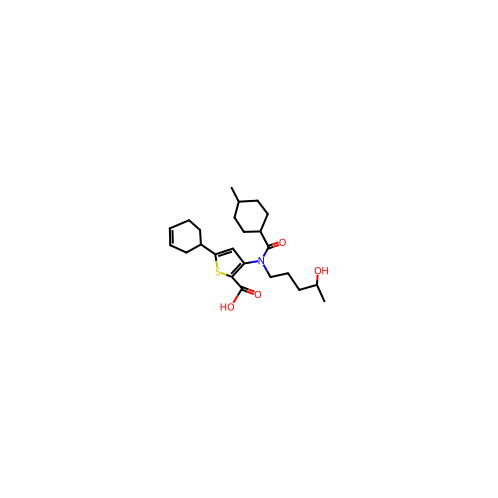 CC(O)CCCN(C(=O)C1CCC(C)CC1)c1cc(C2CC=CCC2)sc1C(=O)O